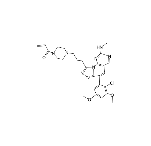 C=CC(=O)N1CCN(CCCc2nnc3c(-c4cc(OC)cc(OC)c4Cl)cc4cnc(NC)nc4n23)CC1